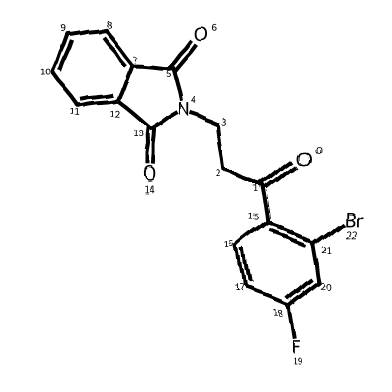 O=C(CCN1C(=O)c2ccccc2C1=O)c1ccc(F)cc1Br